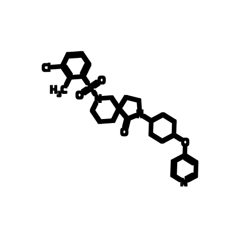 Cc1c(Cl)cccc1S(=O)(=O)N1CCCC2(CCN(C3CCC(Oc4ccncc4)CC3)C2=O)C1